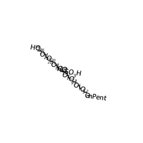 CCCCCOCCOCCOCCOCCOCCOCCOCCOCCOCCO.O=S(=O)(O)O